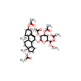 COC(=O)[C@H]1O[C@@H](O[C@H]2C=C3CC(OC(C)=O)CC[C@]3(C)C3CC[C@@]4(C)C(CC[C@@H]4OC(C)=O)C32)[C@H](OC(C)=O)[C@@H](OC(C)=O)[C@@H]1OC(C)=O